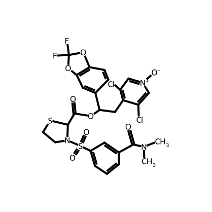 CN(C)C(=O)c1cccc(S(=O)(=O)N2CCSC2C(=O)OC(Cc2c(Cl)c[n+]([O-])cc2Cl)c2ccc3c(c2)OC(F)(F)O3)c1